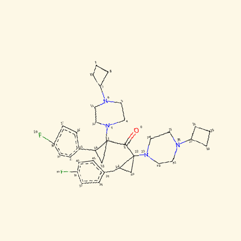 O=C(C1(N2CCN(C3CCC3)CC2)CC1c1ccc(F)cc1)C1(N2CCN(C3CCC3)CC2)CC1c1ccc(F)cc1